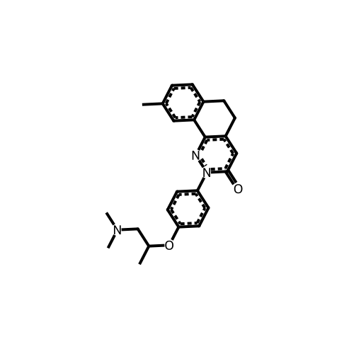 Cc1ccc2c(c1)-c1nn(-c3ccc(OC(C)CN(C)C)cc3)c(=O)cc1CC2